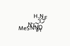 CSc1ncc2cc(-c3ccc(F)c(N)c3)c(=O)n(C(C)C)c2n1